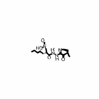 CCCCC[C@H](CN(O)C=O)C(=O)NNC1=NC=CC(C)C1=O